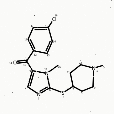 CN1CCC(Sc2ncc(C(=O)c3ccc(Cl)cc3)n2C)CC1